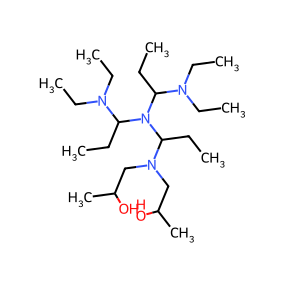 CCC(N(CC)CC)N(C(CC)N(CC)CC)C(CC)N(CC(C)O)CC(C)O